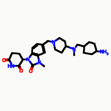 CN(CC1CCC(N)CC1)C1CCN(Cc2ccc3c(c2)n(C)c(=O)n3C2CCC(=O)NC2=O)CC1